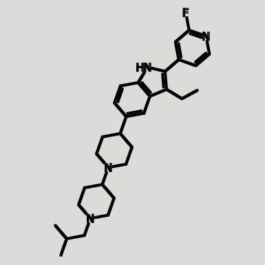 CCc1c(-c2ccnc(F)c2)[nH]c2ccc(C3CCN(C4CCN(CC(C)C)CC4)CC3)cc12